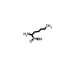 CCCCCC(N)[PH](=O)O